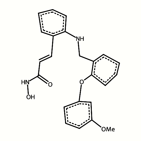 COc1cccc(Oc2ccccc2CNc2ccccc2/C=C/C(=O)NO)c1